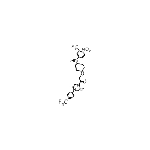 C[C@@H]1CN(C(=O)COC2CCC(Nc3ccc([N+](=O)[O-])c(C(F)(F)F)c3)CC2)[C@@H](C)CN1c1ccc(C(F)(F)F)cc1